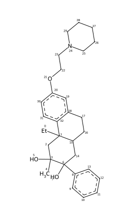 CCC12CC(C)(O)C(O)(c3ccccc3)CC1CCc1cc(OCCN3CCCCC3)ccc12